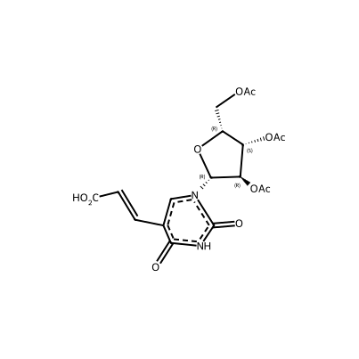 CC(=O)OC[C@H]1O[C@@H](n2cc(C=CC(=O)O)c(=O)[nH]c2=O)[C@H](OC(C)=O)[C@H]1OC(C)=O